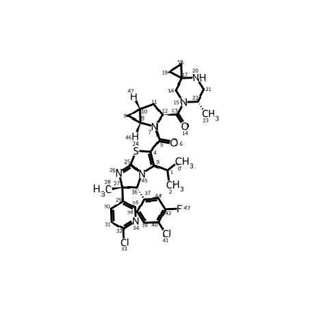 CC(C)C1=C(C(=O)N2[C@@H]3C[C@@H]3C[C@H]2C(=O)N2CC3(CC3)NC[C@@H]2C)SC2=N[C@@](C)(c3ccc(Cl)nc3)[C@@H](c3ccc(Cl)c(F)c3)N21